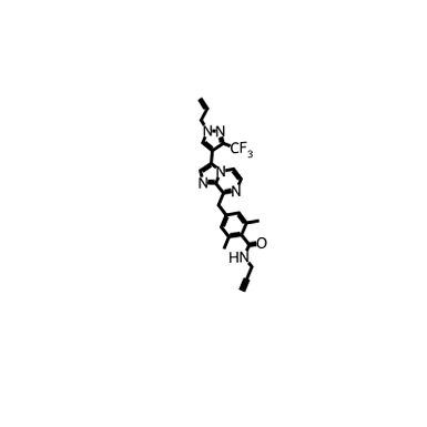 C#CCNC(=O)c1c(C)cc(Cc2nccn3c(-c4cn(CC=C)nc4C(F)(F)F)cnc23)cc1C